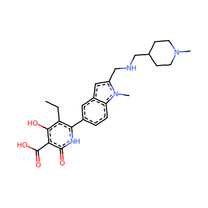 CCc1c(-c2ccc3c(c2)cc(CNCC2CCN(C)CC2)n3C)[nH]c(=O)c(C(=O)O)c1O